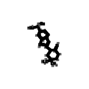 CCCCN(CCCC)c1ccc(C=CC2CC(C)(C)CCC2=O)c(OC)c1